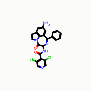 Nc1cc2c3c(c1)C(c1ccccc1)=NC(NC(=O)c1c(Cl)cncc1Cl)C(=O)N3CC2